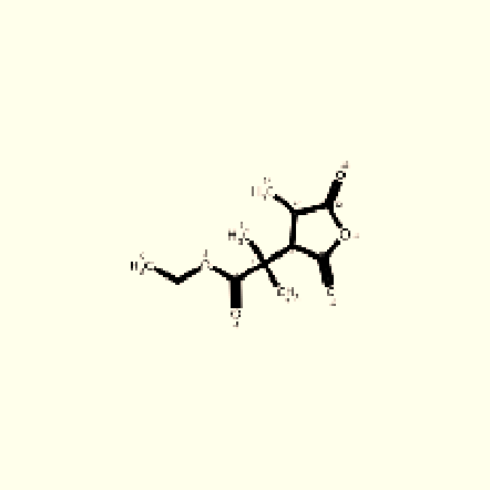 CCOC(=O)C(C)(C)C1C(=O)OC(=O)C1C